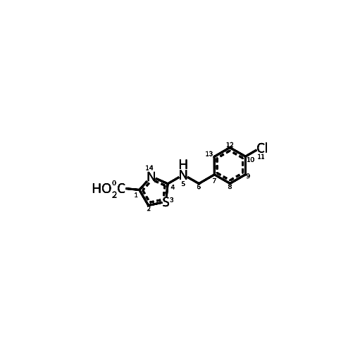 O=C(O)c1csc(NCc2ccc(Cl)cc2)n1